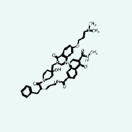 CNC(=O)c1cnc2cc(C(=O)NCCC[C@H](Cc3ccccc3)C(=O)N3CCC(O)(Cn4cnc5cc(OCCCN(C)C)ccc5c4=O)CC3)ccc2c1Cl